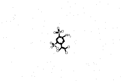 Nc1cc(C(Cl)=C(Cl)Cl)c(S(=O)(=O)Cl)cc1S(=O)(=O)Cl